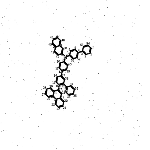 c1ccc(-c2ccc(N(c3ccc(-c4ccc(-c5cc6ccccc6c6ccccc56)c(-c5ccccc5)c4)cc3)c3ccc4ccccc4c3)cc2)cc1